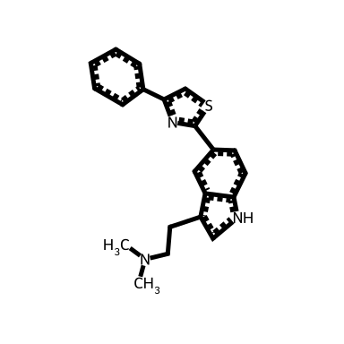 CN(C)CCc1c[nH]c2ccc(-c3nc(-c4ccccc4)cs3)cc12